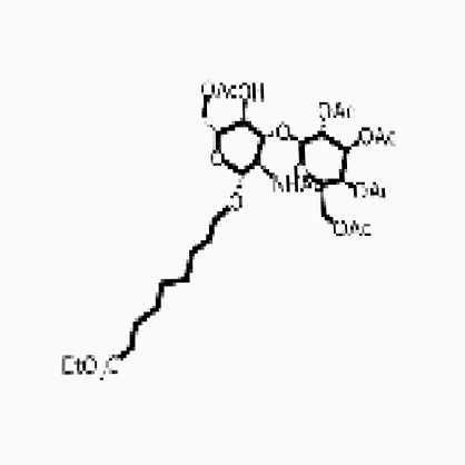 CCOC(=O)CCCCCCCCO[C@@H]1O[C@H](COC(C)=O)[C@@H](O)[C@H](O[C@@H]2O[C@H](COC(C)=O)[C@H](OC(C)=O)[C@H](OC(C)=O)[C@H]2OC(C)=O)[C@H]1NC(C)=O